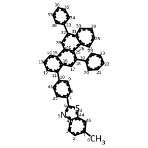 Cc1ccc2nc(-c3ccc(-c4cccc5c4cc(-c4ccccc4)c4c6ccccc6c(-c6ccccc6)cc54)cc3)sc2c1